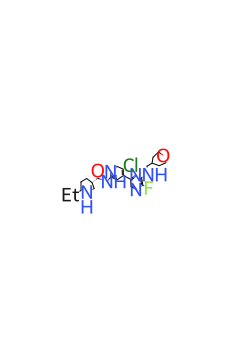 CC[C@H]1CC[C@H](C(=O)Nc2cc(-c3cnc(F)c(NCC4CCOCC4)n3)c(Cl)cn2)CN1